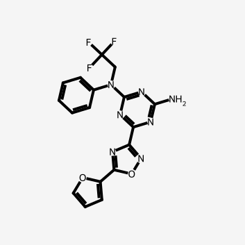 Nc1nc(-c2noc(-c3ccco3)n2)nc(N(CC(F)(F)F)c2ccccc2)n1